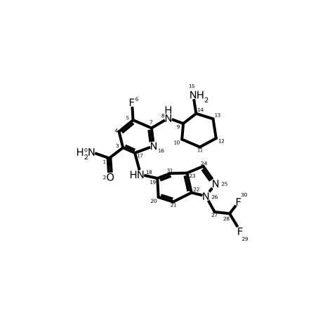 NC(=O)c1cc(F)c(NC2CCCCC2N)nc1Nc1ccc2c(cnn2CC(F)F)c1